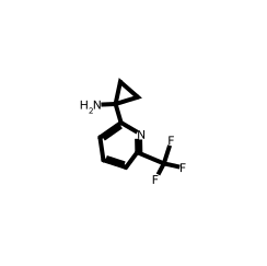 NC1(c2cccc(C(F)(F)F)n2)CC1